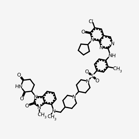 Cc1cc(S(=O)(=O)N2CCC(N3CCC(CN(C)c4cccc5c4n(C)c(=O)n5C4CCC(=O)NC4=O)CC3)CC2)ccc1Nc1ncc2cc(Cl)c(=O)n(C3CCCC3)c2n1